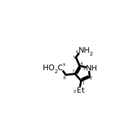 CCc1c[nH]c(CN)c1CC(=O)O